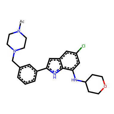 CC(=O)N1CCN(Cc2cccc(-c3cc4cc(Cl)cc(NC5CCOCC5)c4[nH]3)c2)CC1